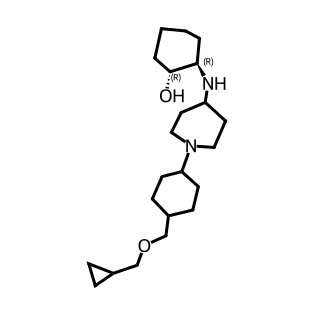 O[C@@H]1CCCC[C@H]1NC1CCN(C2CCC(COCC3CC3)CC2)CC1